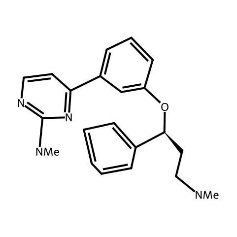 CNCC[C@H](Oc1cccc(-c2ccnc(NC)n2)c1)c1ccccc1